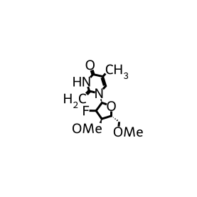 C=C1NC(=O)C(C)=CN1[C@@H]1O[C@H](COC)[C@@H](OC)C1F